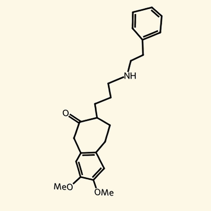 COc1cc2c(cc1OC)CC(=O)C(CCCNCCc1ccccc1)CC2